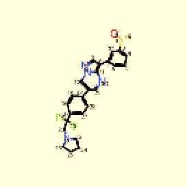 C[S+]([O-])c1cccc(-c2cnn3cc(-c4ccc(C(F)(F)CN5CCCC5)cc4)cnc23)c1